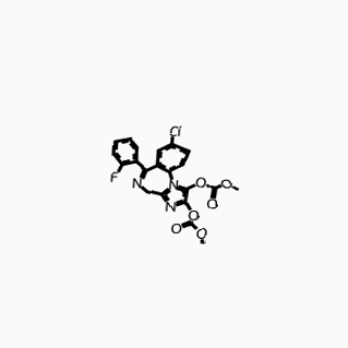 COC(=O)Oc1nc2n(c1OC(=O)OC)-c1ccc(Cl)cc1C(c1ccccc1F)=NC2